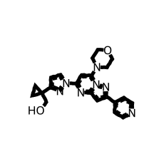 OCC1(c2ccn(-c3cc(N4CCOCC4)n4nc(-c5ccncc5)cc4n3)n2)CC1